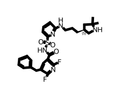 CC1(C)C[C@H](CCCNc2cccc(S(=O)(=O)NC(=O)c3cc(Cc4ccccc4)c(F)nc3F)n2)CN1